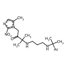 CC(=O)C(C)(C)NCCCNC(C)(C)C(=O)Cn1c(C)cnc1[N+](=O)[O-]